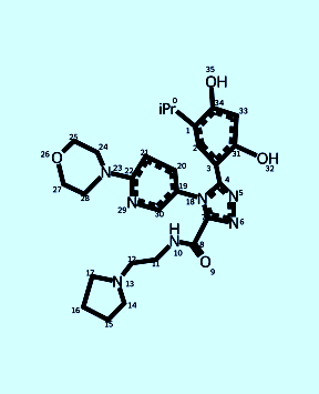 CC(C)c1cc(-c2nnc(C(=O)NCCN3CCCC3)n2-c2ccc(N3CCOCC3)nc2)c(O)cc1O